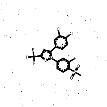 CS(=O)(=O)c1ccc(-n2nc(C(F)(F)F)cc2-c2ccc(Cl)c(Cl)c2)cc1F